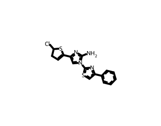 Nc1nc(C2=CCC(Cl)S2)cn1-c1nc(-c2ccccc2)cs1